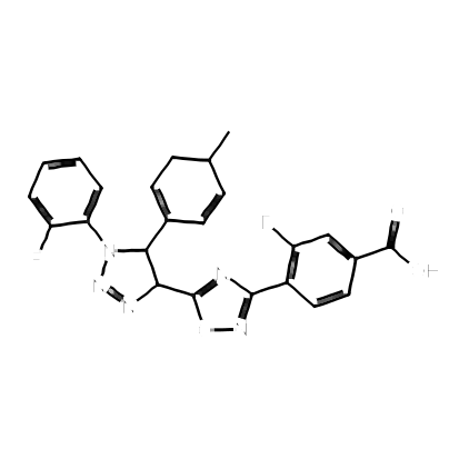 CC1C=CC(C2C(c3nc(-c4ccc(C(=O)O)cc4F)no3)N=NN2c2ccccc2F)=CC1